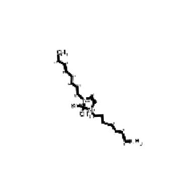 CCCCCCCCN1C=CN(CCCCCCCC)C1(C)Br